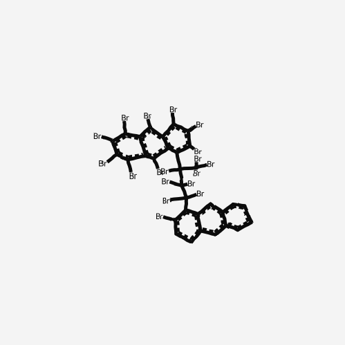 Brc1ccc2cc3ccccc3cc2c1C(Br)(Br)C(Br)(Br)C(Br)(c1c(Br)c(Br)c(Br)c2c(Br)c3c(Br)c(Br)c(Br)c(Br)c3c(Br)c12)C(Br)(Br)Br